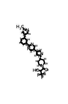 Cn1cc(-c2cccc(-c3ncc(-c4cnn(C5CCN(C(=O)C(O)C(F)(F)F)CC5)c4)cn3)c2)cn1